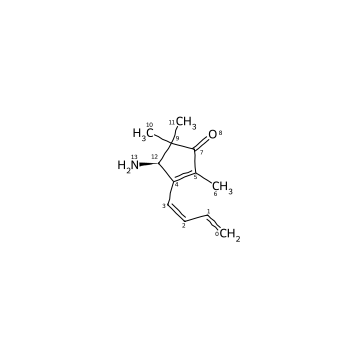 C=C/C=C\C1=C(C)C(=O)C(C)(C)[C@@H]1N